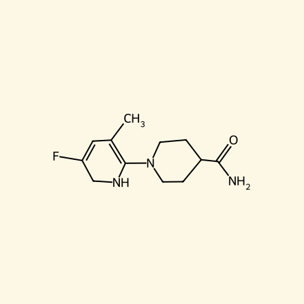 CC1=C(N2CCC(C(N)=O)CC2)NCC(F)=C1